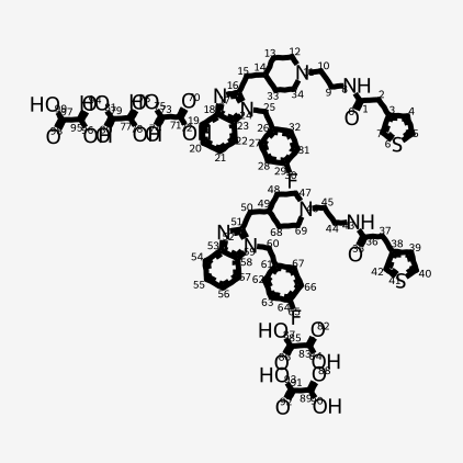 O=C(Cc1ccsc1)NCCN1CCC(Cc2nc3ccccc3n2Cc2ccc(F)cc2)CC1.O=C(Cc1ccsc1)NCCN1CCC(Cc2nc3ccccc3n2Cc2ccc(F)cc2)CC1.O=C(O)C(=O)O.O=C(O)C(=O)O.O=C(O)C(=O)O.O=C(O)C(=O)O.O=C(O)C(=O)O